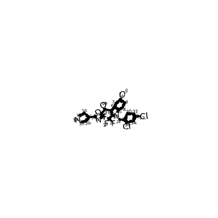 COc1ccc2c(c1)c(C(=O)c1cnc(-c3ccncc3)o1)c(C(F)(F)F)n2Cc1ccc(Cl)cc1Cl